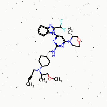 CC#CCN(C(C)COC)[C@H]1CC[C@H](CNc2nc(N3CCOC[C@H]3C)cc(-n3c(C(F)F)nc4ccccc43)n2)CC1